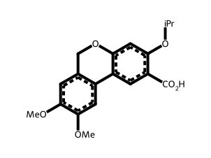 COc1cc2c(cc1OC)-c1cc(C(=O)O)c(OC(C)C)cc1OC2